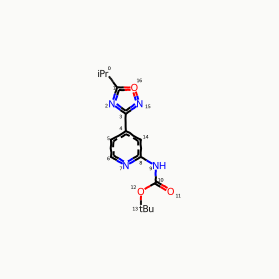 CC(C)c1nc(-c2ccnc(NC(=O)OC(C)(C)C)c2)no1